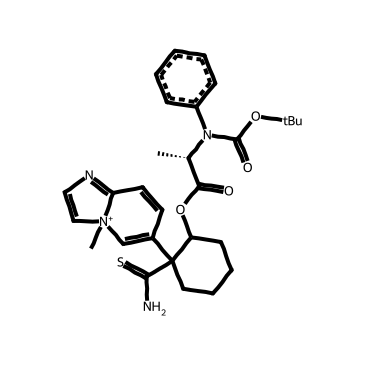 C[C@@H](C(=O)OC1CCCCC1(C(N)=S)C1=C[N+]2(C)C=CN=C2C=C1)N(C(=O)OC(C)(C)C)c1ccccc1